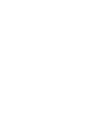 CC(C)c1ccc(CCN(CCOc2ccccc2)S(=O)(=O)c2cc(C(=N)N)ccc2O)cc1